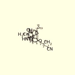 C=C(CCC#N)COc1ccc(F)c([C@]23CO[C@@H](C4CC4)C[C@H]2C(=O)N(C)C(=N)N3)c1